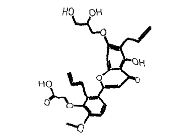 C=CCc1c(-c2cc(=O)c3c(O)c(CC=C)c(OCC(O)CO)cc3o2)ccc(OC)c1OCC(=O)O